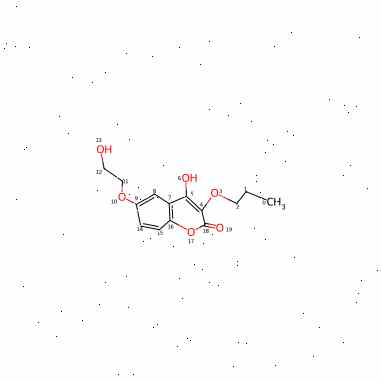 CCCOc1c(O)c2cc(OCCO)ccc2oc1=O